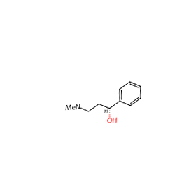 CNCC[C@@H](O)c1ccccc1